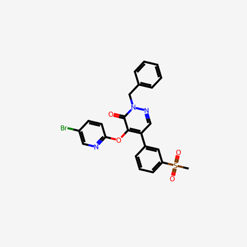 CS(=O)(=O)c1cccc(-c2cnn(Cc3ccccc3)c(=O)c2Oc2ccc(Br)cn2)c1